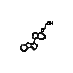 OCCOc1cccc2c(-c3cccc4c3Cc3ccccc3-4)cccc12